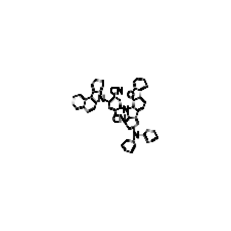 N#Cc1cc(-n2c3ccc(N(c4ccccc4)c4ccccc4)cc3c3ccc4c5ccccc5oc4c32)c(C#N)cc1-n1c2ccccc2c2c3ccccc3ccc21